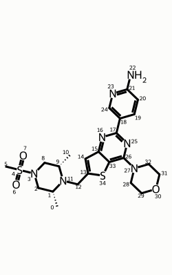 C[C@@H]1CN(S(C)(=O)=O)C[C@H](C)N1Cc1cc2nc(-c3ccc(N)nc3)nc(N3CCOCC3)c2s1